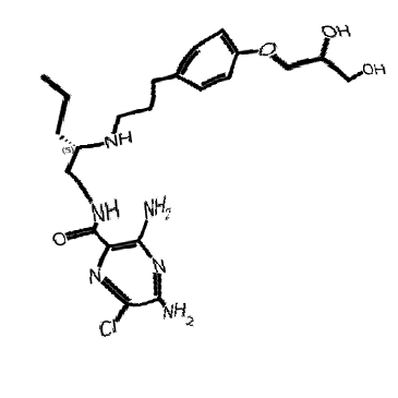 CCC[C@@H](CNC(=O)c1nc(Cl)c(N)nc1N)NCCCc1ccc(OCC(O)CO)cc1